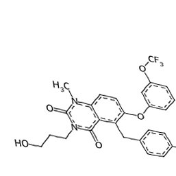 Cn1c(=O)n(CCCO)c(=O)c2c(Cc3ccc(Cl)cc3)c(Oc3cccc(OC(F)(F)F)c3)ccc21